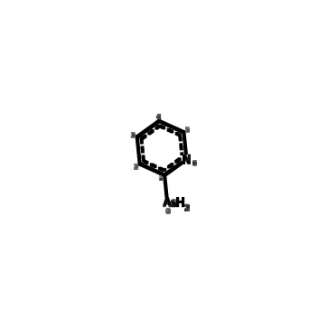 [AsH2]c1c[c]ccn1